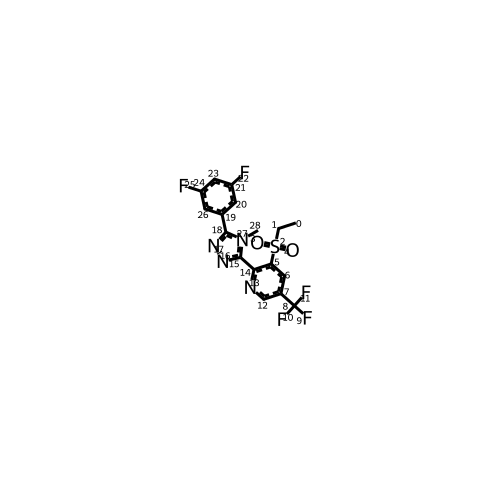 CCS(=O)(=O)c1cc(C(F)(F)F)cnc1-c1nnc(-c2cc(F)cc(F)c2)n1C